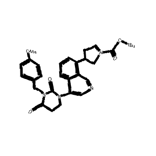 COc1ccc(CN2C(=O)CCN(c3cncc4c(C5CCN(C(=O)OC(C)(C)C)C5)cccc34)C2=O)cc1